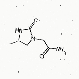 CC1CN(CC(N)=O)C(=O)N1